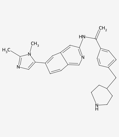 C=C(Nc1cc2cc(-c3cnc(C)n3C)ccc2cn1)c1ccc(CC2CCNCC2)cc1